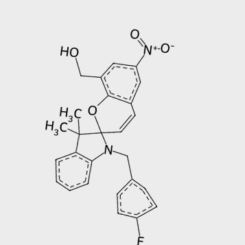 CC1(C)c2ccccc2N(Cc2ccc(F)cc2)C12C=Cc1cc([N+](=O)[O-])cc(CO)c1O2